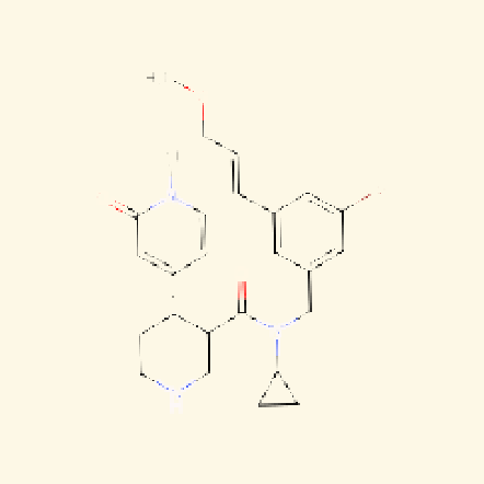 COC/C=C/c1cc(Br)cc(CN(C(=O)C2CNCC[C@@H]2c2ccn(C)c(=O)c2)C2CC2)c1